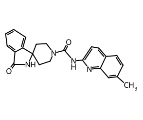 Cc1ccc2ccc(NC(=O)N3CCC4(CC3)NC(=O)c3ccccc34)nc2c1